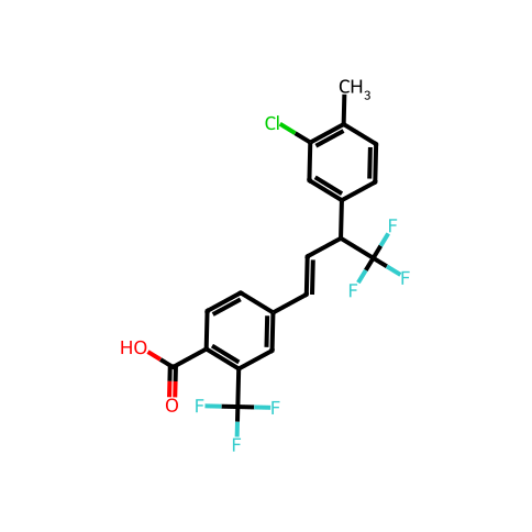 Cc1ccc(C(/C=C/c2ccc(C(=O)O)c(C(F)(F)F)c2)C(F)(F)F)cc1Cl